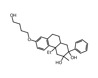 CCC12CC(C)(O)C(O)(c3ccccc3)CC1CCc1cc(OCCCCO)ccc12